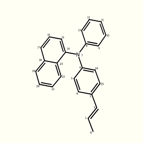 CC=Cc1ccc(N(c2ccccc2)c2cccc3ccccc23)cc1